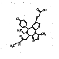 CCNC(=O)CC1c2nnc(C)n2-c2ccc(OCC(=O)O)cc2C(c2ccc(Cl)cc2)N1CC